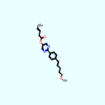 CCCCC=CCC(=O)Oc1cnc(-c2ccc(CCCCCOCCC)cc2)nc1